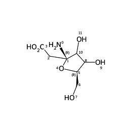 N[C@]1(CC(=O)O)O[C@H](CO)C(O)C1O